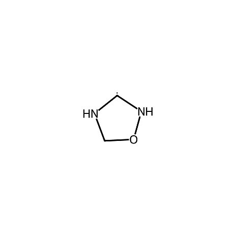 [CH]1NCON1